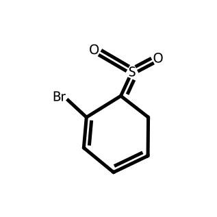 O=S(=O)=C1CC=CC=C1Br